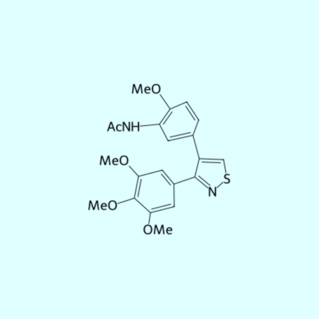 COc1ccc(-c2csnc2-c2cc(OC)c(OC)c(OC)c2)cc1NC(C)=O